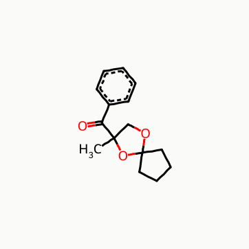 CC1(C(=O)c2ccccc2)COC2(CCCC2)O1